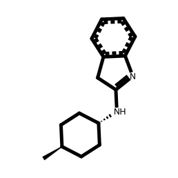 C[C@H]1CC[C@H](NC2=Nc3ccccc3C2)CC1